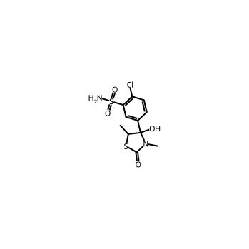 CC1SC(=O)N(C)C1(O)c1ccc(Cl)c(S(N)(=O)=O)c1